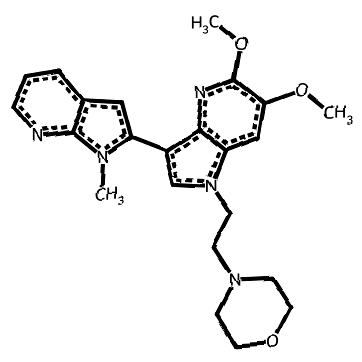 COc1cc2c(nc1OC)c(-c1cc3cccnc3n1C)cn2CCN1CCOCC1